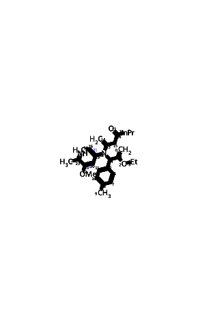 C=C(OCC)C(c1ccc(C)cc1)N(C(=C)CC(=O)CCC)C(/C=C(/OC)C(C)=N)=C/C